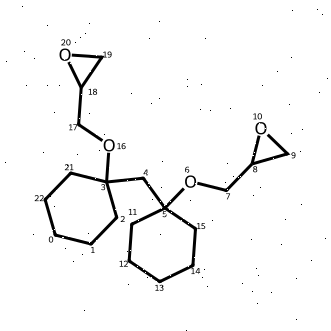 C1CCC(CC2(OCC3CO3)CCCCC2)(OCC2CO2)CC1